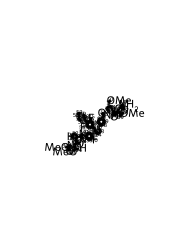 COC[C@H]1C[C@@H](NC(=O)c2ccc([C@H]3CC[C@H](c4cc5nc([C@@H]6CCCN6C(=O)C(NC(=O)OC)C(C)OC)[nH]c5cc4F)N3c3cc(F)c(N4CC[Si](C)(C)CC4)c(F)c3)cc2)N(C(=O)C(OC(N)=O)C(C)OC)C1